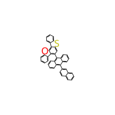 c1ccc2cc(-c3c4ccccc4c(-c4cc5sc6ccccc6c5c5oc6ccccc6c45)c4ccccc34)ccc2c1